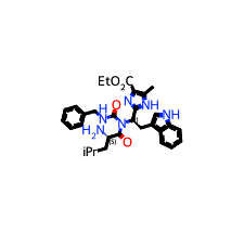 CCOC(=O)c1nc([C@@H](Cc2c[nH]c3ccccc23)N(C(=O)NCc2ccccc2)C(=O)[C@@H](N)CC(C)C)[nH]c1C